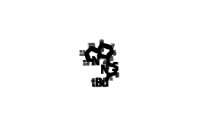 CC(C)(C)C1CSC(c2cccc3cccnc23)=N1